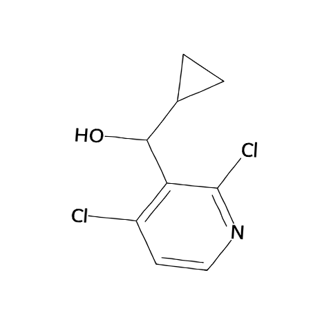 OC(c1c(Cl)ccnc1Cl)C1CC1